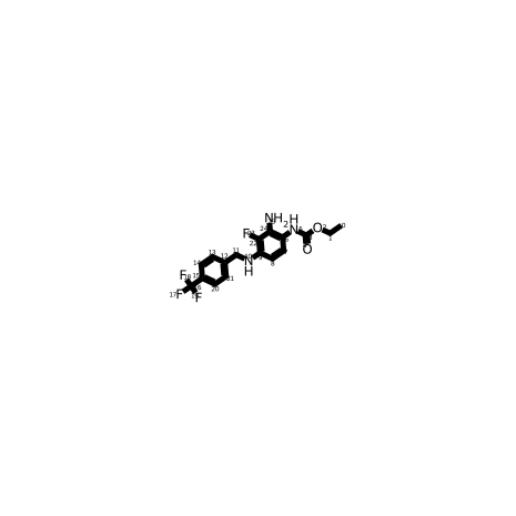 CCOC(=O)Nc1ccc(NCc2ccc(C(F)(F)F)cc2)c(F)c1N